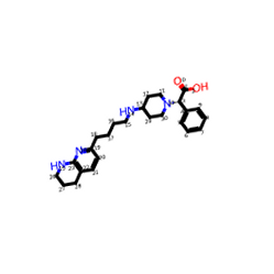 O=C(O)[C@H](c1ccccc1)N1CCC(NCCCCc2ccc3c(n2)NCCC3)CC1